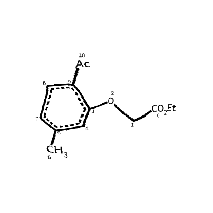 CCOC(=O)COc1cc(C)ccc1C(C)=O